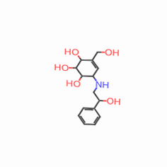 OCC1=CC(NCC(O)c2ccccc2)C(O)C(O)C1O